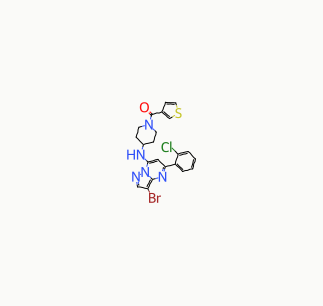 O=C(c1ccsc1)N1CCC(Nc2cc(-c3ccccc3Cl)nc3c(Br)cnn23)CC1